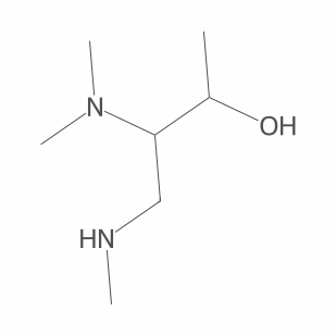 CNCC(C(C)O)N(C)C